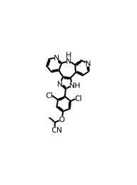 CC(C#N)Oc1cc(Cl)c(-c2nc3c([nH]2)-c2ccncc2Nc2ncccc2-3)c(Cl)c1